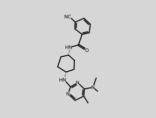 Cc1cnc(N[C@H]2CC[C@@H](NC(=O)c3cccc(C#N)c3)CC2)nc1N(C)C